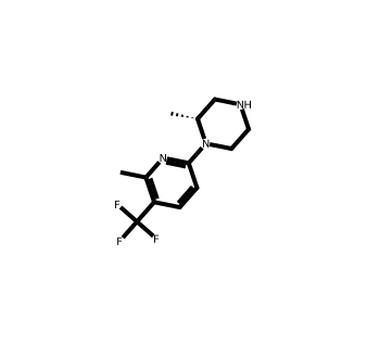 Cc1nc(N2CCNC[C@H]2C)ccc1C(F)(F)F